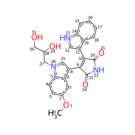 COc1ccc2c(c1)c(C1=C(c3c[nH]c4ccccc34)C(=O)NC1=O)cn2CC(O)CO